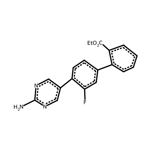 CCOC(=O)c1ccccc1-c1ccc(-c2cnc(N)nc2)c(F)c1